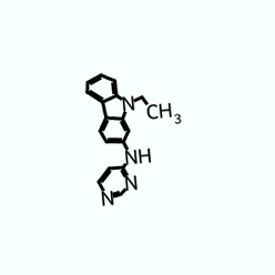 CCn1c2ccccc2c2ccc(Nc3ccncn3)cc21